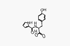 O=C(N[C@@H](Cc1ccc(O)cc1)C(=O)O)c1ccc[nH]1